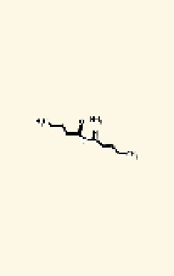 CCCCNOC(=O)CCCC.N